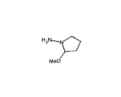 COC1CCCN1N